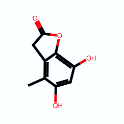 Cc1c(O)cc(O)c2c1CC(=O)O2